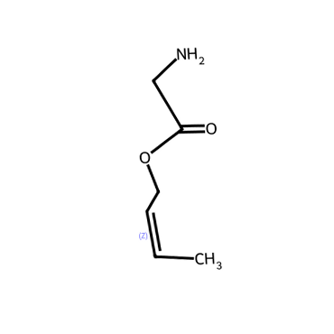 C/C=C\COC(=O)CN